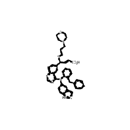 O=C(O)C=CC(SCCCN1CCOCC1)c1ccc2ncnc(N(c3ccc4[nH]ncc4c3)c3ccccc3Cc3ccccc3)c2c1